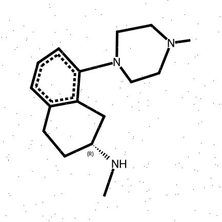 CN[C@@H]1CCc2cccc(N3CCN(C)CC3)c2C1